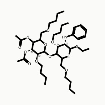 CCCCOCC1OC(OC2C(COCCCC)OC(SCC)[C@@H](Nc3ccccc3)[C@H]2OCCCC)[C@@H](OCCCC)[C@H](OC(C)=O)C1OC(C)=O